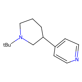 CC(C)(C)N1CCCC(c2ccncc2)C1